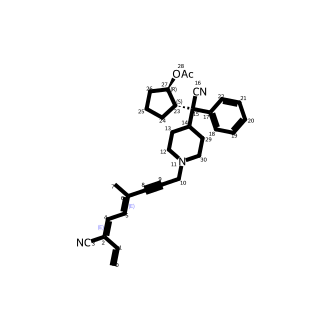 C=C/C(C#N)=C\C=C(/C)C#CCN1CCC(C(C#N)(c2ccccc2)[C@@H]2CCC[C@H]2OC(C)=O)CC1